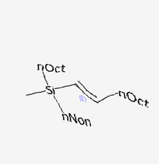 CCCCCCCC/C=C/[Si](C)(CCCCCCCC)CCCCCCCCC